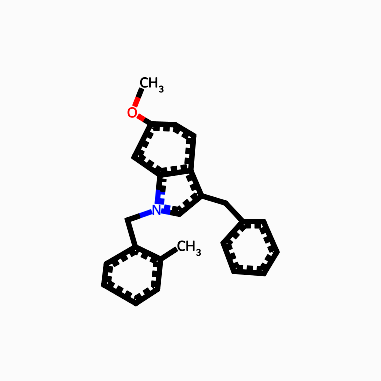 COc1ccc2c(Cc3ccccc3)cn(Cc3ccccc3C)c2c1